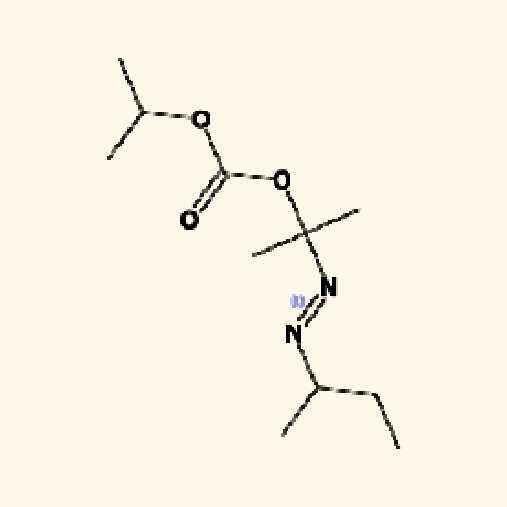 CCC(C)/N=N/C(C)(C)OC(=O)OC(C)C